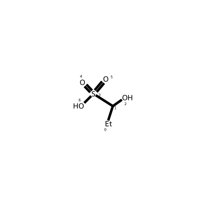 CC[C](O)S(=O)(=O)O